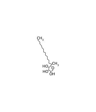 CCCCCCCCCCCCCCC(C)C1OC[C@@H](O)[C@H](O)[C@H]1O